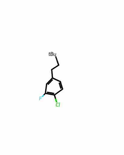 CC(C)(C)CCc1ccc(Cl)c(F)c1